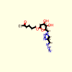 CCC(=O)CCCCOC1CC(O)[C@@H](O)C(Cn2cc(CN=[N+]=[N-])nn2)O1